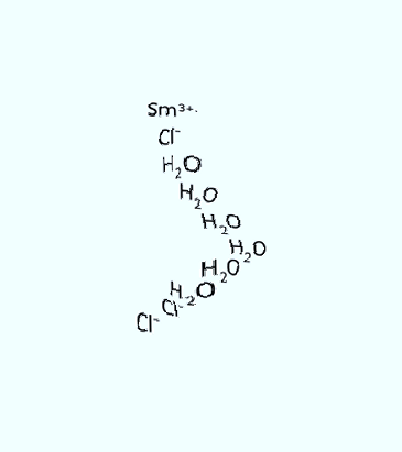 O.O.O.O.O.O.[Cl-].[Cl-].[Cl-].[Sm+3]